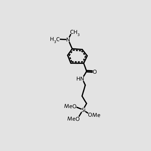 CO[Si](CCCNC(=O)c1ccc(N(C)C)cc1)(OC)OC